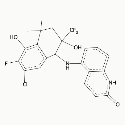 CC1(C)CC(O)(C(F)(F)F)C(Nc2cccc3[nH]c(=O)ccc23)c2cc(Cl)c(F)c(O)c21